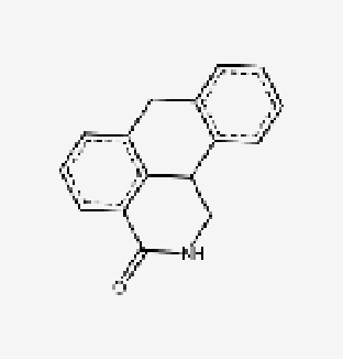 O=C1NCC2c3ccccc3Cc3cccc1c32